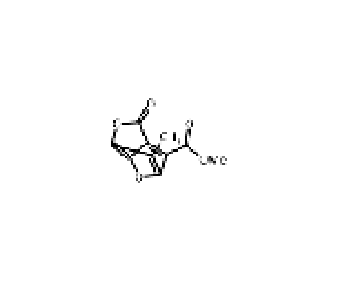 COC(=O)c1c2c3oc1c(C)c3OC2=O